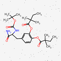 CCC(C)(C)C(=O)Oc1ccc(CC(NC(=O)OC(C)(C)C)C(N)=O)cc1OC(=O)C(C)(C)CC